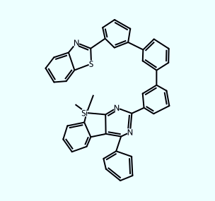 C[Si]1(C)c2ccccc2-c2c(-c3ccccc3)nc(-c3cccc(-c4cccc(-c5cccc(-c6nc7ccccc7s6)c5)c4)c3)nc21